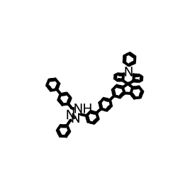 c1ccc(-c2ccc(C3NC(c4cccc(-c5ccc(-c6ccc7c(c6)-c6ccccc6C76c7ccccc7N(c7ccccc7)c7ccccc76)cc5)c4)N4C(c5ccccc5)N34)cc2)cc1